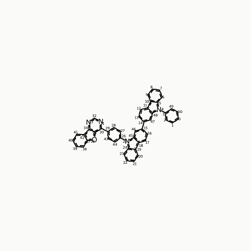 c1ccc(-n2c3ccccc3c3ccc(-c4ccc5c6ccccc6n(-c6ccc(-c7ncnc8c7oc7ccccc78)cc6)c5c4)cc32)cc1